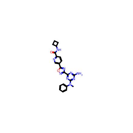 CN(c1ccccc1)c1nc(N)nc(-c2noc(-c3ccc(C(=O)NC4CCC4)nc3)n2)n1